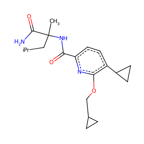 CC(C)CC(C)(NC(=O)c1ccc(C2CC2)c(OCC2CC2)n1)C(N)=O